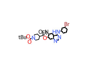 CCC(Oc1cc2ncnc(Nc3cccc(Br)c3)c2cc1[N+](=O)[O-])C1CCN(C(=O)OC(C)(C)C)CC1